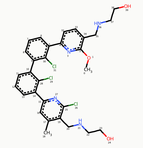 COc1nc(-c2cccc(-c3cccc(-c4cc(C)c(CNCCO)c(Cl)n4)c3Cl)c2Cl)ccc1CNCCO